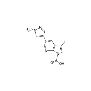 Cn1cc(-c2cnc3c(c2)c(I)cn3C(=O)O)cn1